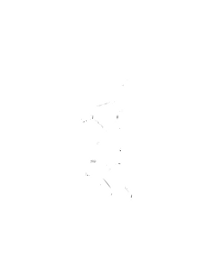 COc1ccc(C[C@H](C)[C@]23CCC(=O)C=C2OCO3)c(F)c1